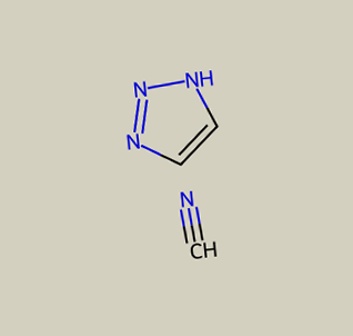 C#N.c1c[nH]nn1